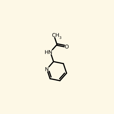 CC(=O)NC1CC=CC=N1